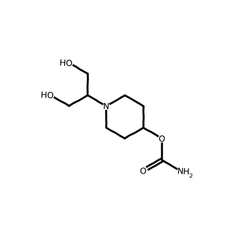 NC(=O)OC1CCN(C(CO)CO)CC1